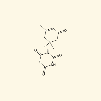 CC1=CC(=O)CC(C)(C)C1.O=C1CC(=O)NC(=O)N1